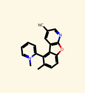 Cc1ccc2oc3ncc(C#N)cc3c2c1-c1cccc[n+]1C